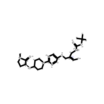 CN1CC[C@H](OC2CCN(c3ncc(OC/C(=C/F)CNC(=O)OC(C)(C)C)cn3)CC2)C1=O